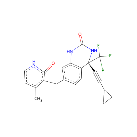 Cc1cc[nH]c(=O)c1Cc1ccc2c(c1)NC(=O)N[C@]2(C#CC1CC1)C(F)(F)F